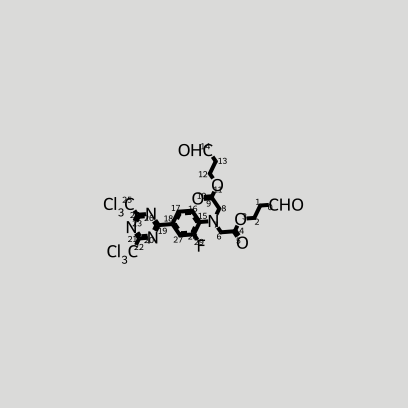 O=CCCOC(=O)CN(CC(=O)OCCC=O)c1ccc(-c2nc(C(Cl)(Cl)Cl)nc(C(Cl)(Cl)Cl)n2)cc1F